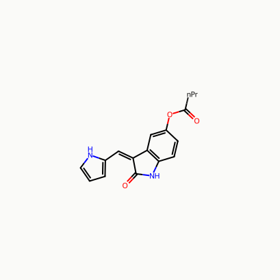 CCCC(=O)Oc1ccc2c(c1)C(=Cc1ccc[nH]1)C(=O)N2